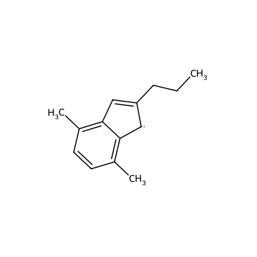 CCCC1=Cc2c(C)ccc(C)c2[CH]1